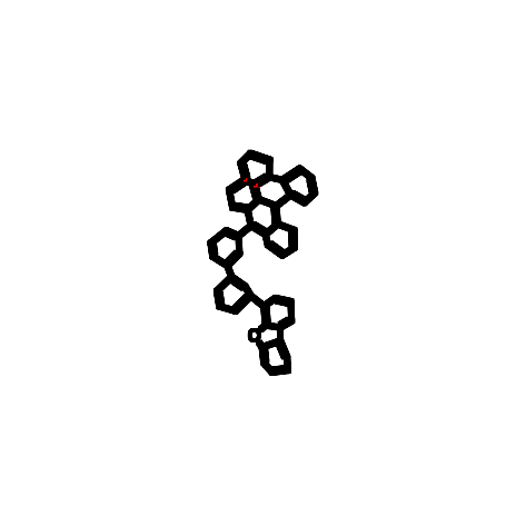 c1ccc(-c2ccccc2-c2c3ccccc3c(-c3cccc(-c4cccc(-c5cccc6c5oc5ccccc56)c4)c3)c3ccccc23)cc1